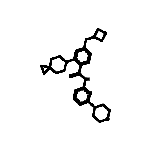 O=C(Nc1cccc(N2CCOCC2)n1)c1ccc(SN2CCC2)cc1N1CCC2(CC1)CC2